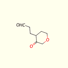 O=CCCC1CCOCC1=O